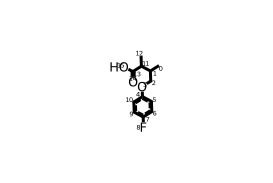 CC(COc1ccc(F)cc1)C(C)C(=O)O